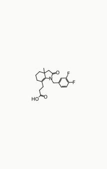 CC12CCCC(CCC(=O)O)=C1N(Cc1ccc(F)c(F)c1)C(=O)C2